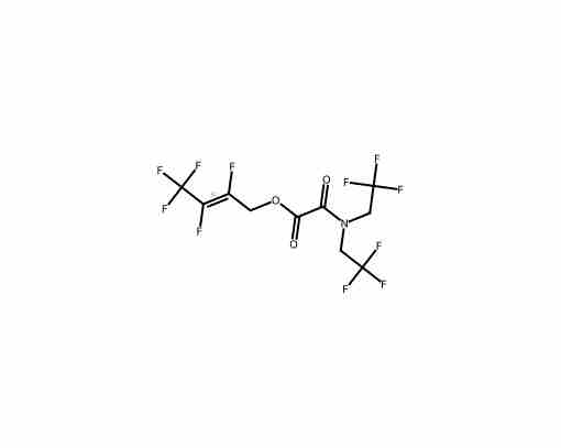 O=C(OC/C(F)=C(\F)C(F)(F)F)C(=O)N(CC(F)(F)F)CC(F)(F)F